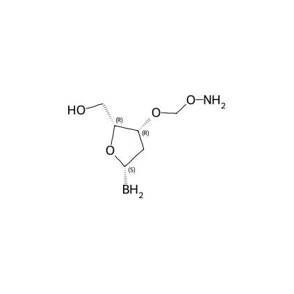 B[C@H]1C[C@@H](OCON)[C@@H](CO)O1